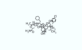 CC(=O)N[C@@H](CCC(N)=O)C(=O)N[C@@H](CC1CCCCC1)C(=O)NC(CC(=O)O)C(=O)N[C@@H](CC(C)C)C(=O)N[C@@H](Cc1ccc(Cl)cc1)C(=O)O